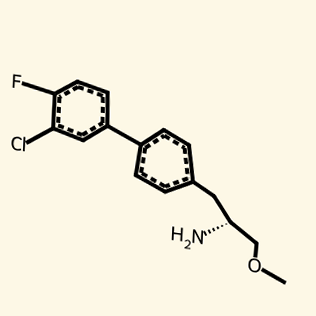 COC[C@H](N)Cc1ccc(-c2ccc(F)c(Cl)c2)cc1